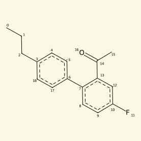 CCCc1c[c]c(-c2ccc(F)cc2C(C)=O)cc1